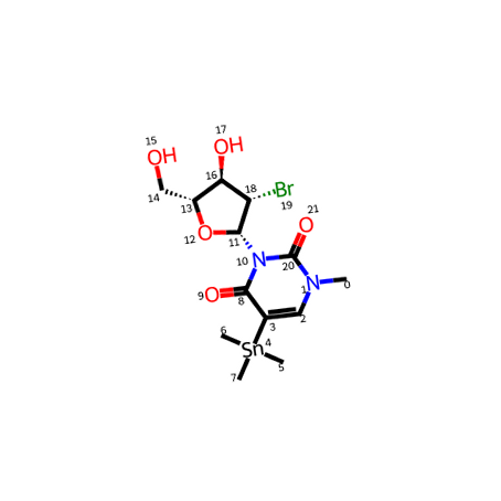 Cn1c[c]([Sn]([CH3])([CH3])[CH3])c(=O)n([C@@H]2O[C@H](CO)[C@@H](O)[C@@H]2Br)c1=O